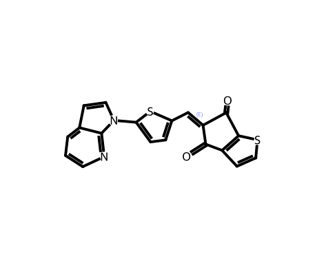 O=C1/C(=C\c2ccc(-n3ccc4cccnc43)s2)C(=O)c2sccc21